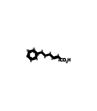 O=C(O)/C=C/CCCc1ccccc1